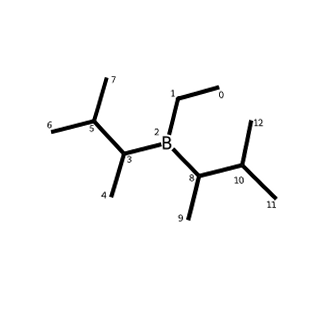 CCB(C(C)C(C)C)C(C)C(C)C